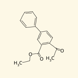 CCOC(=O)c1cc(-c2ccccc2)ccc1C(C)=O